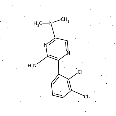 CN(C)c1cnc(-c2cccc(Cl)c2Cl)c(N)n1